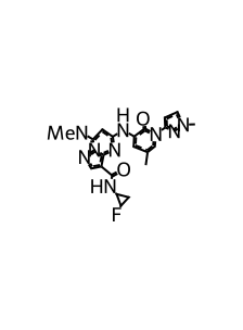 CNc1cc(Nc2cc(C)cn(-c3ccn(C)n3)c2=O)nc2c(C(=O)N[C@H]3C[C@H]3F)cnn12